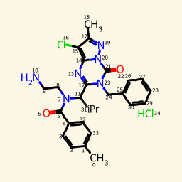 Cc1ccc(C(=O)N(CCN)C(c2nc3c(Cl)c(C)nn3c(=O)n2Cc2ccccc2)C(C)C)cc1.Cl